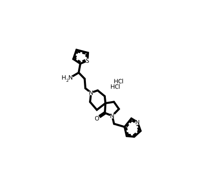 Cl.Cl.NC(CCN1CCC2(CC1)CCN(Cc1cccnc1)C2=O)c1cccs1